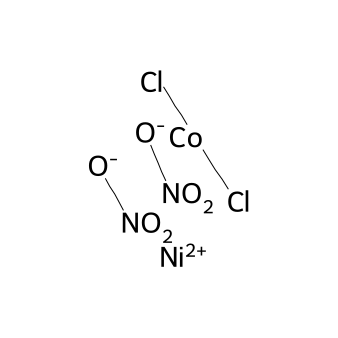 O=[N+]([O-])[O-].O=[N+]([O-])[O-].[Cl][Co][Cl].[Ni+2]